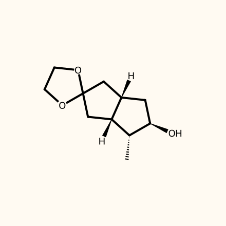 C[C@@H]1[C@@H]2CC3(C[C@@H]2C[C@H]1O)OCCO3